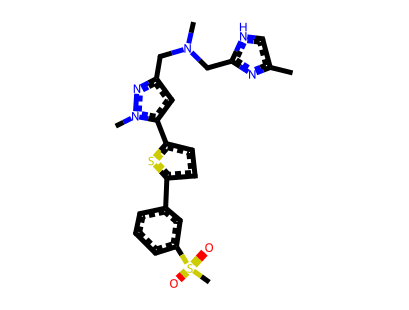 Cc1c[nH]c(CN(C)Cc2cc(-c3ccc(-c4cccc(S(C)(=O)=O)c4)s3)n(C)n2)n1